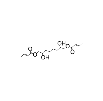 CC=CC(=O)OCC(O)CCCCC(O)COC(=O)C=CC